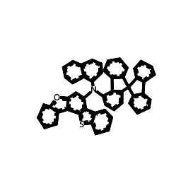 c1ccc2c(c1)-c1ccccc1C21c2ccccc2-c2c(N(c3cccc4ccccc34)c3cc4oc5ccccc5c4c4sc5ccccc5c34)cccc21